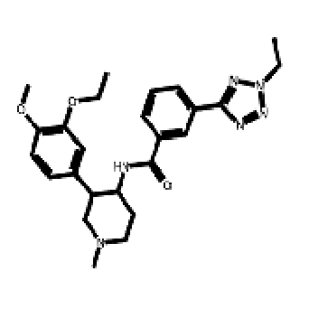 CCOc1cc(C2CN(C)CCC2NC(=O)c2cccc(-c3nnn(CC)n3)c2)ccc1OC